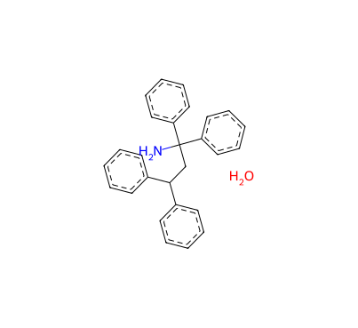 NC(CC(c1ccccc1)c1ccccc1)(c1ccccc1)c1ccccc1.O